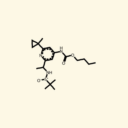 CCCCOC(=O)Nc1cc(C(C)N[S+]([O-])C(C)(C)C)nc(C2(C)CC2)c1